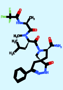 CC(C)C[C@@H](C(=O)N1C[C@]2(CC(c3ccccc3)=NNC2=O)C[C@H]1C(N)=O)N(C)C(=O)[C@H](C)NC(=O)C(F)(F)F